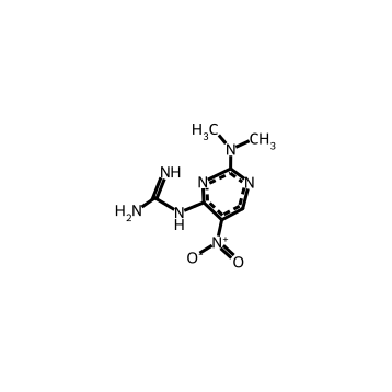 CN(C)c1ncc([N+](=O)[O-])c(NC(=N)N)n1